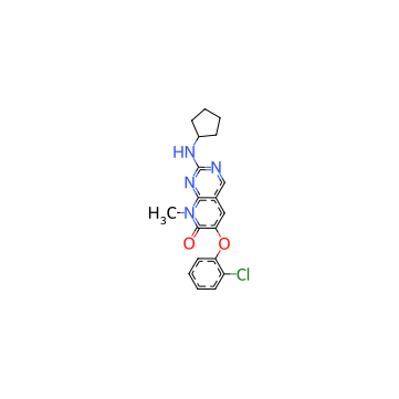 Cn1c(=O)c(Oc2ccccc2Cl)cc2cnc(NC3CCCC3)nc21